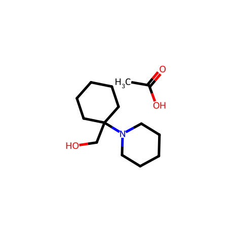 CC(=O)O.OCC1(N2CCCCC2)CCCCC1